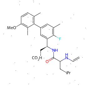 C=CNC(CC(C)C)C(=O)N[C@@H](CC(=O)O)c1cc(-c2c(C)ccc(OC)c2C)cc(C)c1F